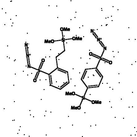 CO[Si](CCc1ccccc1S(=O)(=O)N=[N+]=[N-])(OC)OC.CO[Si](OC)(OC)c1ccc(S(=O)(=O)N=[N+]=[N-])cc1